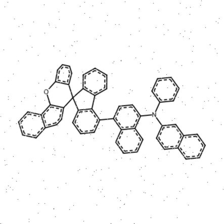 c1ccc(N(c2ccc3ccccc3c2)c2ccc(-c3cccc4c3-c3ccccc3C43c4ccccc4Oc4c3ccc3ccccc43)c3ccccc23)cc1